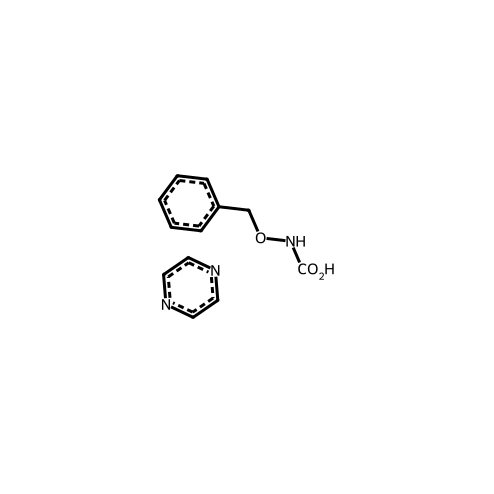 O=C(O)NOCc1ccccc1.c1cnccn1